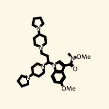 COc1ccc2c(c1)c(C(=O)N(C)OC)cn2C(CCN1CCC(N2CCCC2)CC1)N1CCC(N2CCCC2)CC1